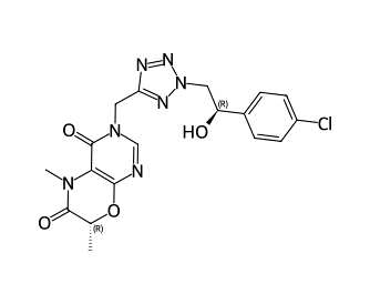 C[C@H]1Oc2ncn(Cc3nnn(C[C@H](O)c4ccc(Cl)cc4)n3)c(=O)c2N(C)C1=O